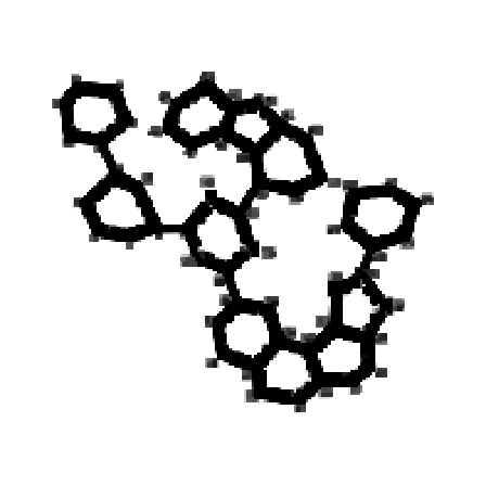 c1ccc(-c2cccc(-c3nc(-c4ccc5ccc6ccc7nn(-c8ccccc8)nc7c6c5c4)nc(-c4cccc5sc6ccccc6c45)n3)c2)cc1